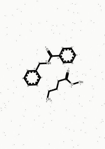 CCCCC(=O)OO.O=C(NCc1ccccc1)c1ccccc1